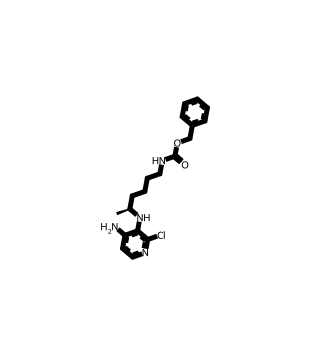 C[C@@H](CCCCNC(=O)OCc1ccccc1)Nc1c(N)ccnc1Cl